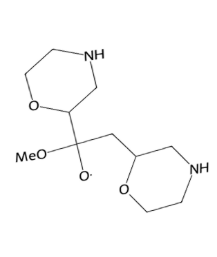 COC([O])(CC1CNCCO1)C1CNCCO1